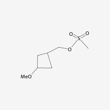 COC1CC(COS(C)(=O)=O)C1